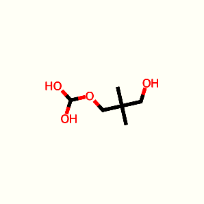 CC(C)(CO)COC(O)O